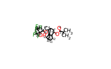 C=C(C)C(=O)OC1CC2CC3CCC1C(C3)C2(C)OCC(O)(C(F)(F)F)C(F)(F)F